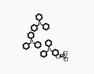 [Cl][Ru]([Cl])[Cl].c1ccc(P(c2ccccc2)c2ccccc2)cc1.c1ccc(P(c2ccccc2)c2ccccc2)cc1.c1ccc(P(c2ccccc2)c2ccccc2)cc1